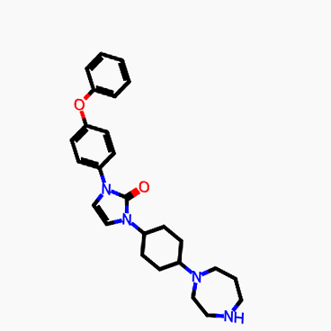 O=c1n(-c2ccc(Oc3ccccc3)cc2)ccn1C1CCC(N2CCCNCC2)CC1